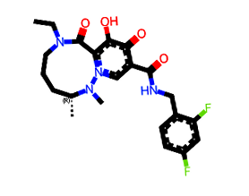 CCN1CCC[C@@H](C)N(C)n2cc(C(=O)NCc3ccc(F)cc3F)c(=O)c(O)c2C1=O